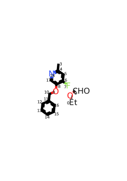 CCOC=O.Cc1cc(F)c(OCc2ccccc2)cn1